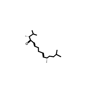 CC(C)CC[C@H](C)/C=C/CC/C=C/C(=O)[C@H](C)C(C)C